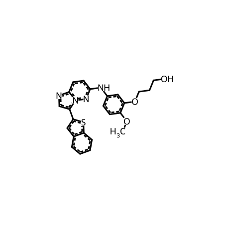 COc1ccc(Nc2ccc3ncc(-c4cc5ccccc5s4)n3n2)cc1OCCCO